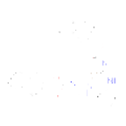 O=C(NC(=S)Nc1ccccc1NC(=S)NC(=O)Oc1ccc2ccccc2c1)Oc1ccc2ccccc2c1